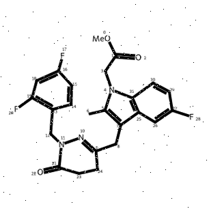 COC(=O)Cn1c(C)c(CC2=NN(Cc3ccc(F)cc3F)C(=O)CC2)c2cc(F)ccc21